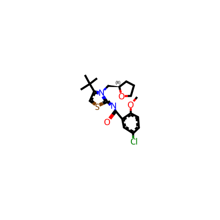 COc1ccc(Cl)cc1C(=O)N=c1scc(C(C)(C)C)n1C[C@H]1CCCO1